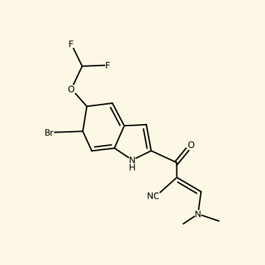 CN(C)/C=C(\C#N)C(=O)c1cc2c([nH]1)=CC(Br)C(OC(F)F)C=2